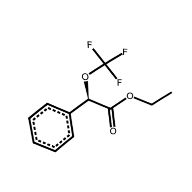 CCOC(=O)[C@H](OC(F)(F)F)c1ccccc1